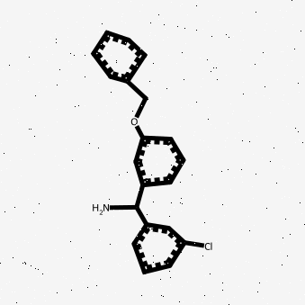 NC(c1cccc(Cl)c1)c1cccc(OCc2ccccc2)c1